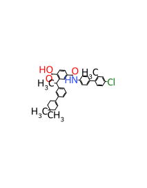 Cc1cc(Cl)ccc1-c1ccc(NC(=O)c2ccc(C(=O)O)c(C(C)c3cccc(C4=CCC(C)(C)CC4)c3)c2)cc1